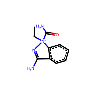 CC[N+]1(C(N)=O)N=C(N)c2c[c]ccc21